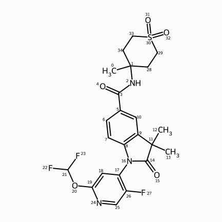 CC1(NC(=O)c2ccc3c(c2)C(C)(C)C(=O)N3c2cc(OC(F)F)ncc2F)CCS(=O)(=O)CC1